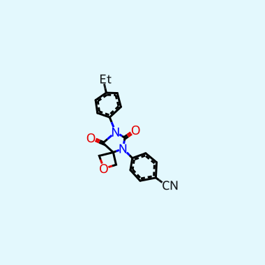 CCc1ccc(N2C(=O)N(c3ccc(C#N)cc3)C3(COC3)C2=O)cc1